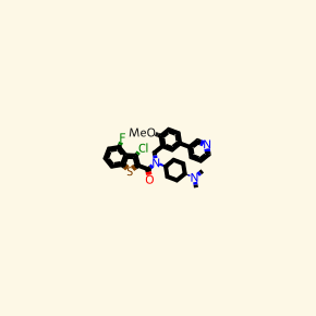 COc1ccc(-c2cccnc2)cc1CN(C(=O)c1sc2cccc(F)c2c1Cl)[C@H]1CC[C@H](N(C)C)CC1